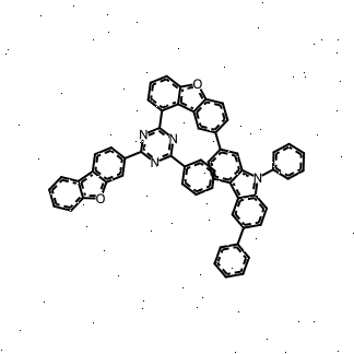 c1ccc(-c2ccc3c(c2)c2ccc(-c4ccc5oc6cccc(-c7nc(-c8ccccc8)nc(-c8ccc9c(c8)oc8ccccc89)n7)c6c5c4)cc2n3-c2ccccc2)cc1